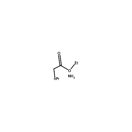 CCCCC(=O)OCC.N